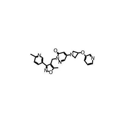 Cc1ccc(-c2noc(C)c2Cn2ncc(N3CC(Oc4cccnc4)C3)cc2=O)cn1